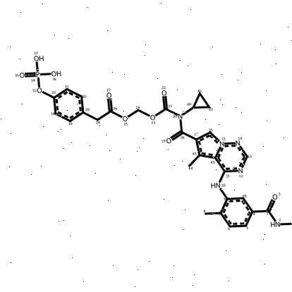 CCCNC(=O)c1ccc(C)c(Nc2ncnn3cc(C(=O)N(C(=O)OCOC(=O)Cc4ccc(OP(=O)(O)O)cc4)C4CC4)c(C)c23)c1